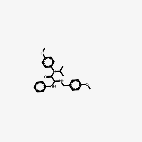 COc1ccc(CNC(Nc2ccccc2)C(=O)N(c2ccc(OC)cc2)C(C)C)cc1